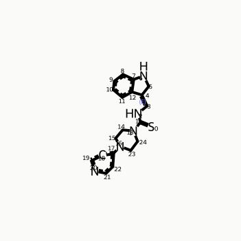 S=C(N/C=C1/CNc2ccccc21)N1CCN(c2ccncc2)CC1